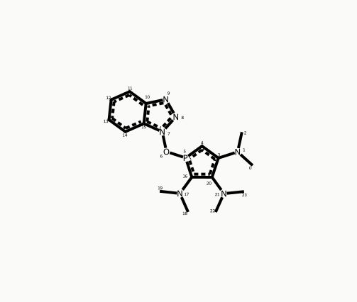 CN(C)c1cp(On2nnc3ccccc32)c(N(C)C)c1N(C)C